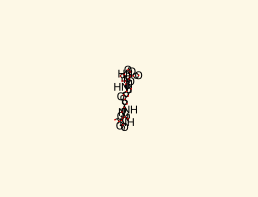 CC[C@H](C)[C@H](NC(=O)OC)C(=O)N1[C@@H](C)CC[C@H]1c1ncc(-c2ccc3c(c2)COc2cc4c(ccc5nc([C@@H]6CC7CCC[C@@H]7N6C(=O)[C@@H](NC(=O)OC)C6CCOCC6)[nH]c54)cc2-3)[nH]1